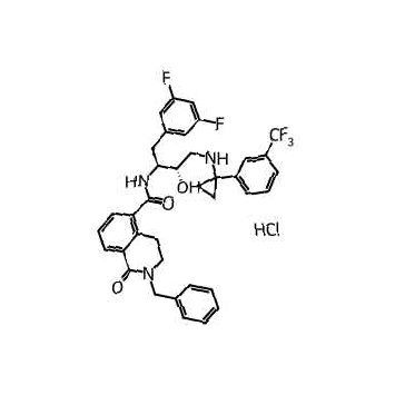 Cl.O=C(N[C@@H](Cc1cc(F)cc(F)c1)[C@@H](O)CNC1(c2cccc(C(F)(F)F)c2)CC1)c1cccc2c1CCN(Cc1ccccc1)C2=O